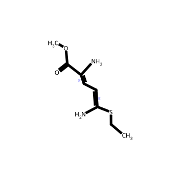 CCS/C(N)=C/C=C(\N)C(=O)OC